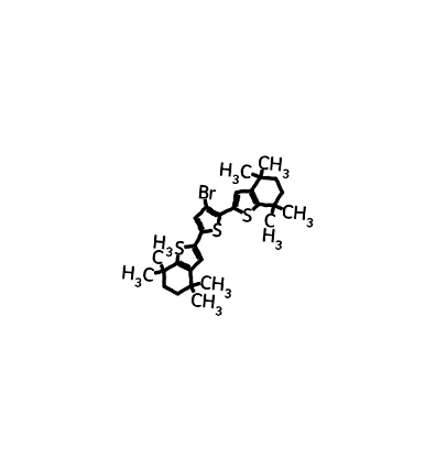 CC1(C)CCC(C)(C)c2sc(-c3cc(Br)c(-c4cc5c(s4)C(C)(C)CCC5(C)C)s3)cc21